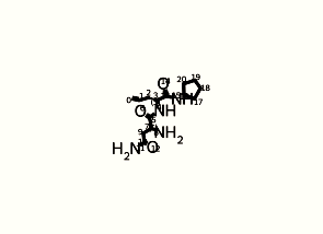 C=CC[C@H](NC(=O)[C@@H](N)CC(N)=O)C(=O)NC1CCCC1